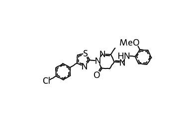 COc1ccccc1N/N=C1/CC(=O)N(c2nc(-c3ccc(Cl)cc3)cs2)N=C1C